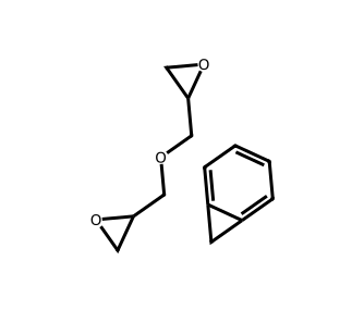 C(OCC1CO1)C1CO1.c1ccc2c(c1)C2